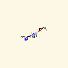 CCCc1nccn1CCCNC(=S)NCCSCc1ccc(C)o1.CNC